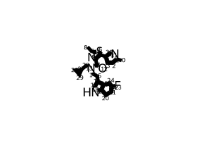 Cc1ccc(-c2sc(C)nc2C(=O)N(CCc2c[nH]c3ccc(F)cc23)CC2CC2)cn1